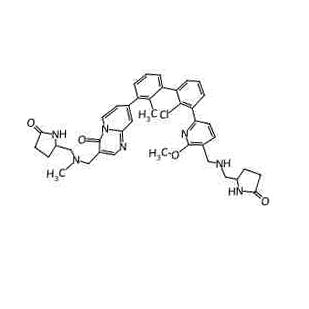 COc1nc(-c2cccc(-c3cccc(-c4ccn5c(=O)c(CN(C)CC6CCC(=O)N6)cnc5c4)c3C)c2Cl)ccc1CNCC1CCC(=O)N1